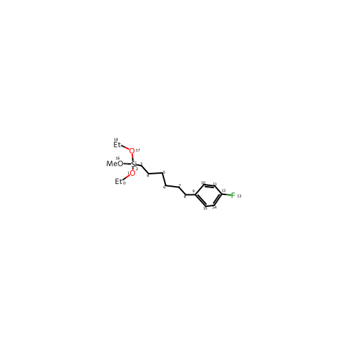 CCO[Si](CCCCCCc1ccc(F)cc1)(OC)OCC